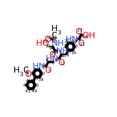 COc1cc(NC(=O)CCNC(=O)[C@H](Cc2ccc(NC(=O)C(=O)O)cc2)NC(=O)[C@H](CO)NC(C)=O)ccc1-c1ccccc1